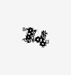 COc1cc(C)c(C(=O)c2c(OC)ccc(Br)c2C)c(OC)c1OC.Fc1ccc(C2(Cn3cncn3)OC2c2ccccc2Cl)cc1